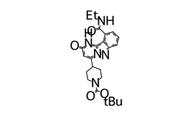 CCNC(=O)c1cccc2nn3c(C4CCN(C(=O)OC(C)(C)C)CC4)cc(=O)[nH]c3c12